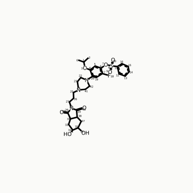 CC(C)Oc1cc(OS(=O)(=O)c2ccccc2)c(F)cc1N1CCN(CCCN2C(=O)C3CC(O)C(O)CC3C2=O)CC1